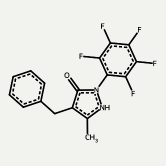 Cc1[nH]n(-c2c(F)c(F)c(F)c(F)c2F)c(=O)c1Cc1ccccc1